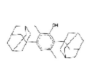 Cc1cc(C23CC4CC(CC(C4)C2)C3)c(C)c(O)c1C12CC3CC(CC(C3)C1)C2